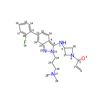 C=CC(=O)N1CC(Nc2c3ccc(-c4ccccc4F)cc3nn2CCCN(C)C)C1